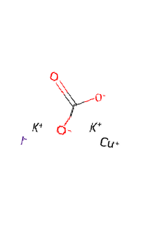 O=C([O-])[O-].[Cu+].[I-].[K+].[K+]